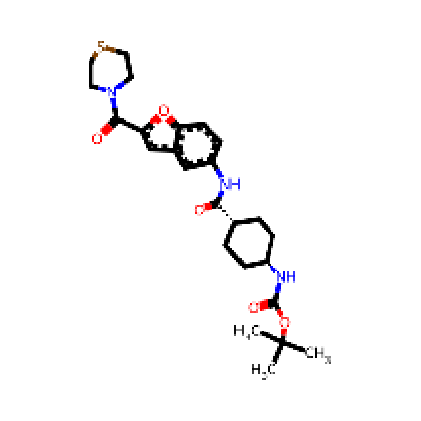 CC(C)(C)OC(=O)N[C@H]1CC[C@H](C(=O)Nc2ccc3oc(C(=O)N4CCSCC4)cc3c2)CC1